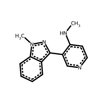 CNc1ccncc1-c1nn(C)c2ccccc12